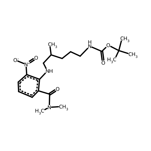 CC(CCCNC(=O)OC(C)(C)C)CNc1c(C(=O)N(C)C)cccc1[N+](=O)[O-]